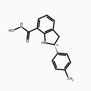 Cc1ccc([C@H]2Cc3cccc(C(=O)NO)c3N2)cc1